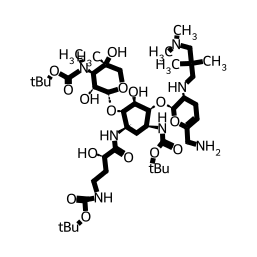 CN(C)CC(C)(C)CN[C@@H]1CC=C(CN)O[C@@H]1O[C@H]1[C@H](O)[C@@H](O[C@H]2OC[C@](C)(O)[C@H](N(C)C(=O)OC(C)(C)C)[C@H]2O)[C@H](NC(=O)[C@@H](O)CCNC(=O)OC(C)(C)C)C[C@@H]1NC(=O)OC(C)(C)C